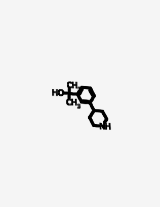 CC(C)(O)c1cccc(C2CCNCC2)c1